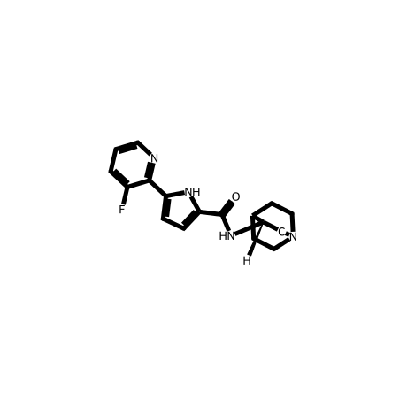 O=C(N[C@H]1CN2CCC1CC2)c1ccc(-c2ncccc2F)[nH]1